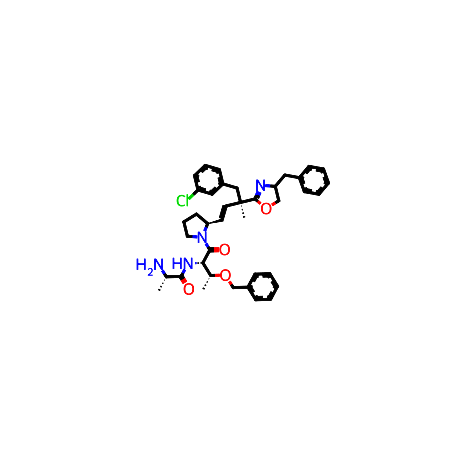 C[C@H](N)C(=O)N[C@H](C(=O)N1CCC[C@H]1/C=C/[C@@](C)(Cc1cccc(Cl)c1)C1=NC(Cc2ccccc2)CO1)[C@@H](C)OCc1ccccc1